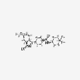 CCc1nn(C2CCN(C(=O)NC3CCC(F)(F)CC3)CC2)c2ccc(C)cc12